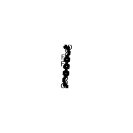 C=CC(=O)O/C=C\Oc1ccc(-c2ccc(-c3ccc(O/C=C\OC(=O)C(=C)C)c(F)c3)c(F)c2)cc1